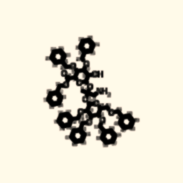 CC(CN)(OC1OC(C(=O)OCc2ccccc2)C(OCc2ccccc2)C(OCc2ccccc2)C1O)OC1OC(COCc2ccccc2)C(OCc2ccccc2)C(OCc2ccccc2)C1OCc1ccccc1